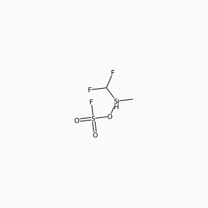 C[SiH](OS(=O)(=O)F)C(F)F